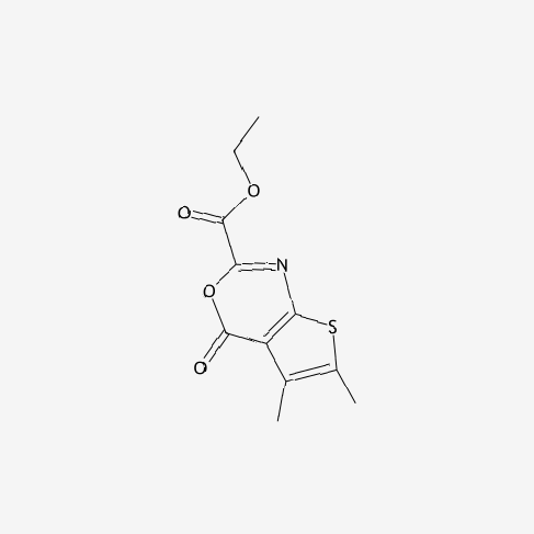 CCOC(=O)c1nc2sc(C)c(C)c2c(=O)o1